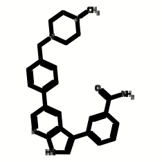 CN1CCN(Cc2ccc(-c3cnc4[nH]cc(-c5cccc(C(N)=O)c5)c4c3)cc2)CC1